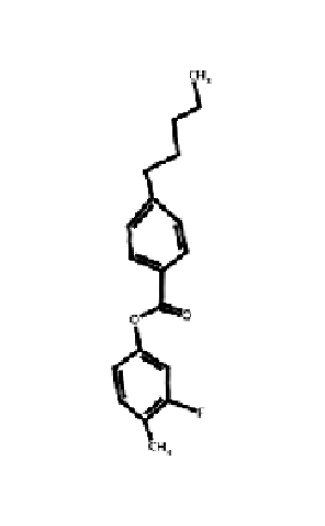 CCCCCc1ccc(C(=O)Oc2ccc(C)c(F)c2)cc1